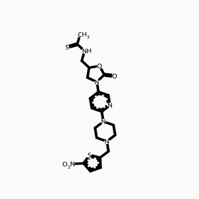 CC(=S)NCC1CN(c2ccc(N3CCN(Cc4ccc([N+](=O)[O-])s4)CC3)nc2)C(=O)O1